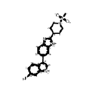 CS(=O)(=O)N1CCC(c2nc3ccc(-c4c[nH]c5cc(F)ccc45)cc3[nH]2)CC1